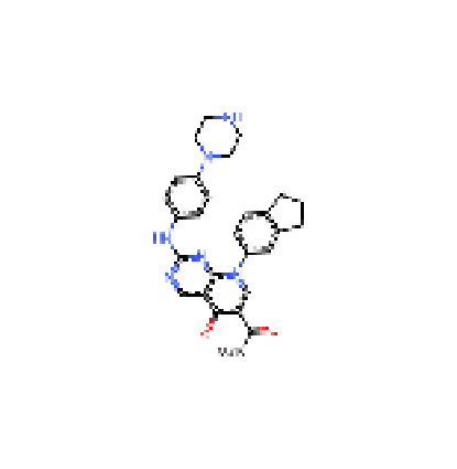 CNC(=O)c1cn(-c2ccc3c(c2)CCC3)c2nc(Nc3ccc(N4CCNCC4)cc3)ncc2c1=O